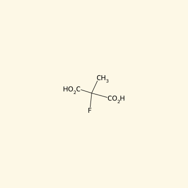 CC(F)(C(=O)O)C(=O)O